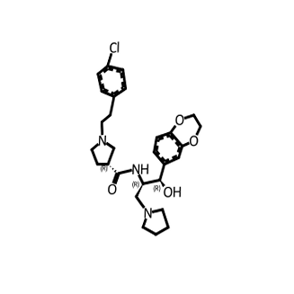 O=C(N[C@H](CN1CCCC1)[C@H](O)c1ccc2c(c1)OCCO2)[C@@H]1CCN(CCc2ccc(Cl)cc2)C1